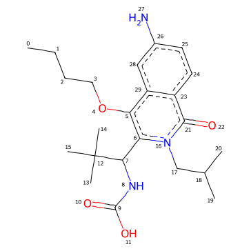 CCCCOc1c(C(NC(=O)O)C(C)(C)C)n(CC(C)C)c(=O)c2ccc(N)cc12